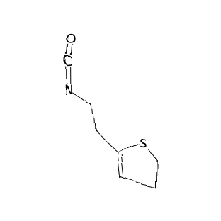 O=C=NCCC1=CCCS1